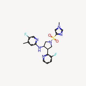 Cc1cc(NC2CN(S(=O)(=O)c3cn(C)cn3)CC2c2ncccc2F)ncc1F